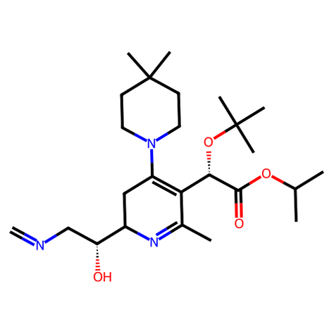 C=NC[C@@H](O)C1CC(N2CCC(C)(C)CC2)=C([C@H](OC(C)(C)C)C(=O)OC(C)C)C(C)=N1